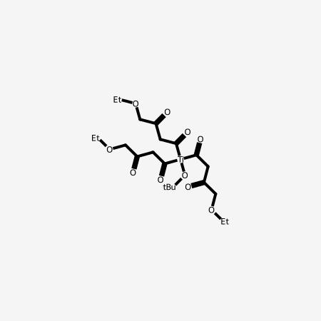 CCOCC(=O)C[C](=O)[Ti]([O]C(C)(C)C)([C](=O)CC(=O)COCC)[C](=O)CC(=O)COCC